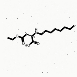 CCCCCCCCN[C@H](CC(=O)OCC)C(=O)O